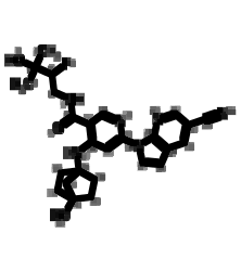 CC(C)(O)C(F)CNC(=O)c1cnc(-n2ccc3cc(C#N)cnc32)cc1NC12CCC(O)(CC1)C2